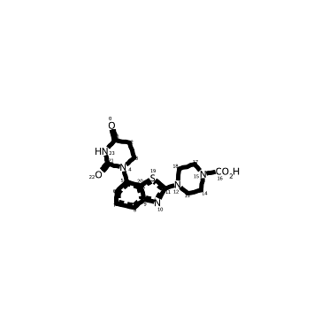 O=C1CCN(c2cccc3nc(N4CCN(C(=O)O)CC4)sc23)C(=O)N1